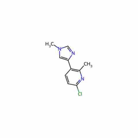 Cc1nc(Cl)ccc1-c1cn(C)cn1